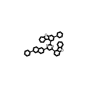 c1ccc(-c2ccc3cc(-c4cc(-c5cccc6oc7ccccc7c56)nc(-c5cc(-c6ccccc6)cc6oc7ccccc7c56)n4)ccc3c2)cc1